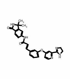 CC1(C)NC(=O)c2ccc(NC(=O)C=Cc3cccc(Oc4ccnc(C5=NCCN5)c4)c3)cc21